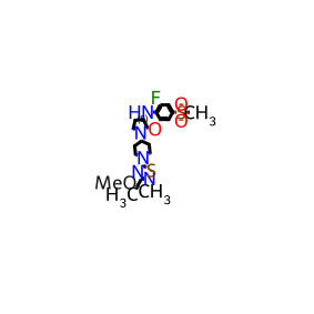 COC(C)(C)c1nsc(N2CCC(N3CC[C@H](Nc4ccc(S(C)(=O)=O)cc4F)C3=O)CC2)n1